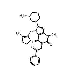 CC1=C(Cn2c(N3CCCC(N)C3)nc3c2c(=O)n(CC(=O)c2ccccc2)c(=O)n3C)CCC1